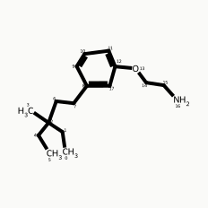 CCC(C)(CC)CCc1cccc(OCCN)c1